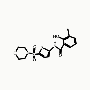 Cc1cccc(C(=O)Nc2ccc(S(=O)(=O)N3CCOCC3)s2)c1O